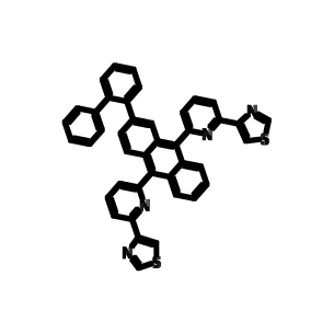 c1ccc(-c2ccccc2-c2ccc3c(-c4cccc(-c5cscn5)n4)c4ccccc4c(-c4cccc(-c5cscn5)n4)c3c2)cc1